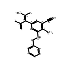 C=C(C)/C(=C(/C)O)c1cc(C#N)c(N)c(NCc2ccccc2)c1